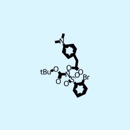 CN(C)c1ccc(CC(=O)ON(C(=O)OC(C)(C)C)S(=O)(=O)c2ccccc2Br)cc1